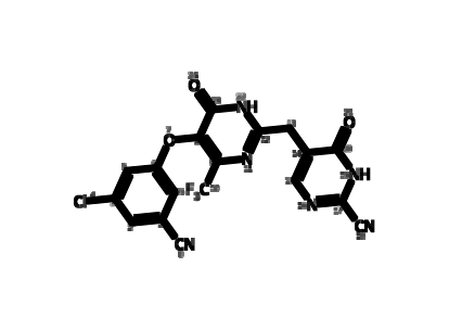 N#Cc1cc(Cl)cc(Oc2c(C(F)(F)F)nc(Cc3cnc(C#N)[nH]c3=O)[nH]c2=O)c1